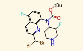 CC(C)(C)OC(=O)N(c1ccc(F)c2ccc(C(Br)Br)nc12)C1CCNCC1F